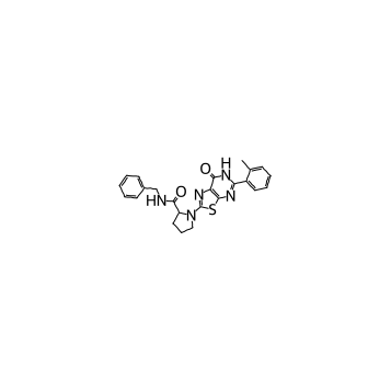 Cc1ccccc1-c1nc2sc(N3CCCC3C(=O)NCc3ccccc3)nc2c(=O)[nH]1